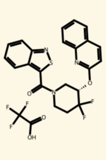 O=C(O)C(F)(F)F.O=C(c1snc2ccccc12)N1CCC(F)(F)[C@@H](Oc2ccc3ccccc3n2)C1